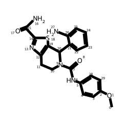 COc1ccc(NC(=O)N2CCc3nc(C(N)=O)sc3C2c2ccccc2N)cc1